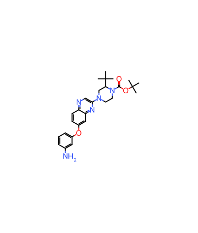 CC(C)(C)OC(=O)N1CCN(c2cnc3ccc(Oc4cccc(N)c4)cc3n2)CC1C(C)(C)C